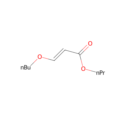 CCCCOC=CC(=O)OCCC